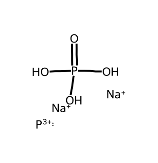 O=P(O)(O)O.[Na+].[Na+].[P+3]